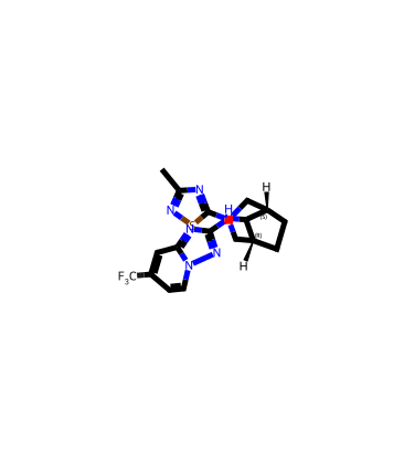 Cc1nsc(N2C[C@H]3CC[C@@H](C2)C3Nc2nc3cc(C(F)(F)F)ccn3n2)n1